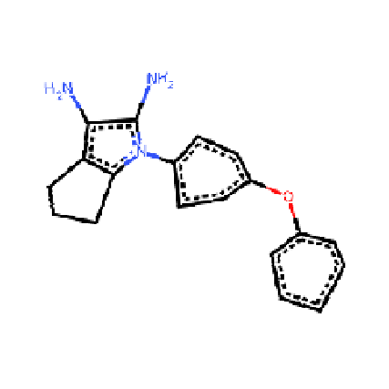 Nc1c2c(n(-c3ccc(Oc4ccccc4)cc3)c1N)CCC2